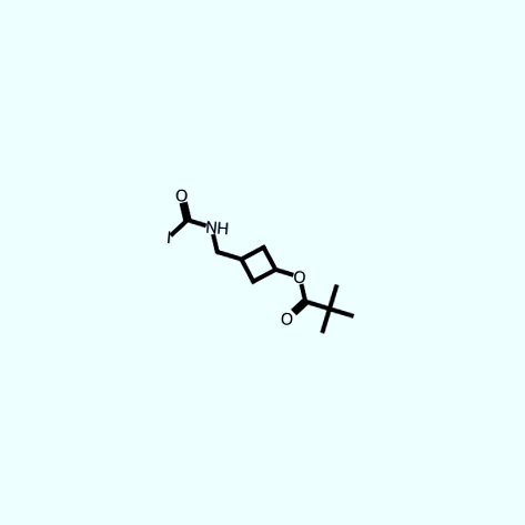 CC(C)(C)C(=O)OC1CC(CNC(=O)I)C1